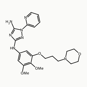 COc1cc(Nc2nc(N)n(-c3ccccn3)n2)cc(OCCCN2CCOCC2)c1OC